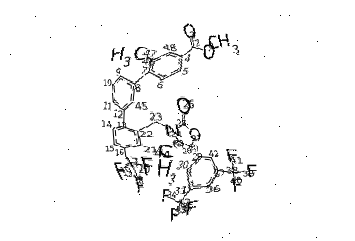 COC(=O)c1ccc(-c2cccc(-c3ccc(C(F)(F)F)cc3CN3C(=O)O[C@H](c4cc(C(F)(F)F)cc(C(F)(F)F)c4)[C@@H]3C)c2)c(C)c1